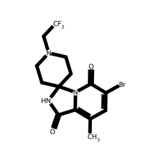 Cc1cc(Br)c(=O)n2c1C(=O)NC21CCN(CC(F)(F)F)CC1